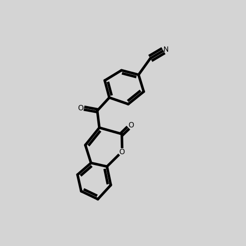 N#Cc1ccc(C(=O)c2cc3ccccc3oc2=O)cc1